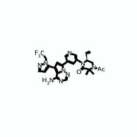 C=C[C@H]1CN(C(C)=O)C(C)(C)C(=O)N1c1cncc(-c2cc(-c3ccnn3CC(F)(F)F)c3c(N)ncnn23)c1